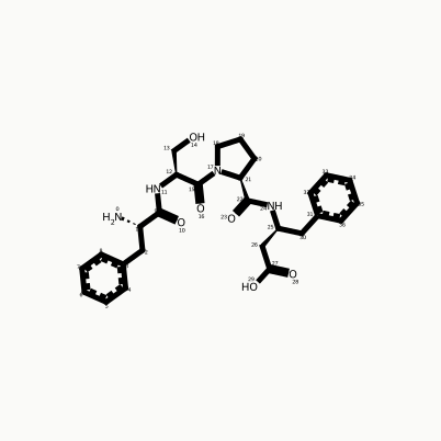 N[C@@H](Cc1ccccc1)C(=O)N[C@@H](CO)C(=O)N1CCC[C@H]1C(=O)N[C@H](CC(=O)O)Cc1ccccc1